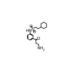 NCCC(=O)c1cccc(NS(=O)(=O)CCC2CCCCC2)c1